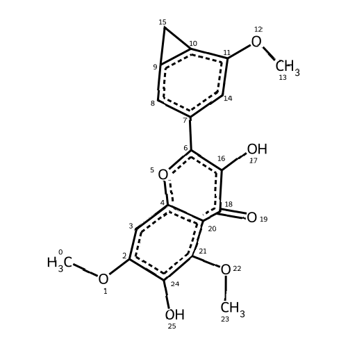 COc1cc2oc(-c3cc4c(c(OC)c3)C4)c(O)c(=O)c2c(OC)c1O